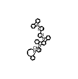 CC1/C=C\C=C/Cc2ccccc2CN1c1cccc(-n2c3c(c4c2ccc2c5ccccc5n(-c5cccc(-c6c#ccc(-n7c8ccccc8c8ccccc87)n6)n5)c24)C=CCC3)n1